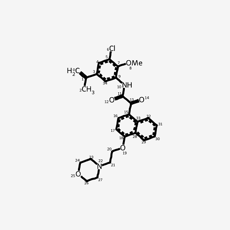 C=C(C)c1cc(Cl)c(OC)c(NC(=O)C(=O)c2ccc(OCCN3CCOCC3)c3ccccc23)c1